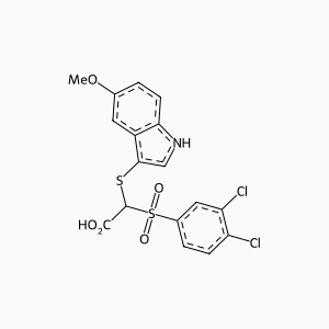 COc1ccc2[nH]cc(SC(C(=O)O)S(=O)(=O)c3ccc(Cl)c(Cl)c3)c2c1